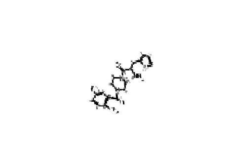 NC(Cc1cccs1)C(=O)N1CCN(C(=O)c2cc(F)ccc2C(F)(F)F)CC1